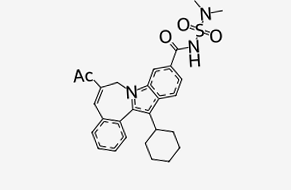 CC(=O)C1=Cc2ccccc2-c2c(C3CCCCC3)c3ccc(C(=O)NS(=O)(=O)N(C)C)cc3n2C1